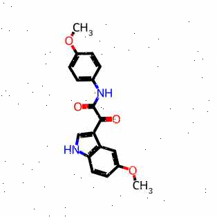 COc1ccc(NC(=O)C(=O)c2c[nH]c3ccc(OC)cc23)cc1